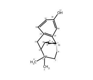 C[N+]1(C)CC[C@@]23CCCCC2C1Cc1ccc(O)cc13